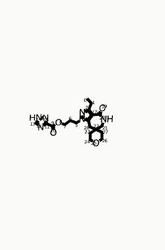 CCc1nn(CCCOC(=O)c2nc[nH]n2)c2c1C(=O)NCC1(CCOCC1)C2